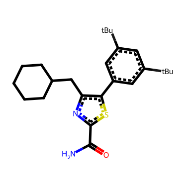 CC(C)(C)c1cc(-c2sc(C(N)=O)nc2CC2CCCCC2)cc(C(C)(C)C)c1